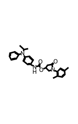 Cc1ccc(C)c(N2CC(OC(=O)Nc3ccc(N(c4ccccc4)C(C)C)cc3)CC2=O)c1